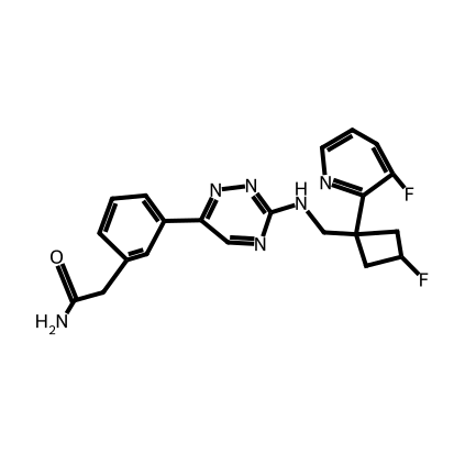 NC(=O)Cc1cccc(-c2cnc(NCC3(c4ncccc4F)CC(F)C3)nn2)c1